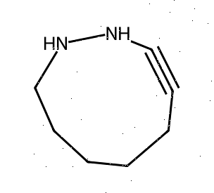 C1#CNNCCCCC1